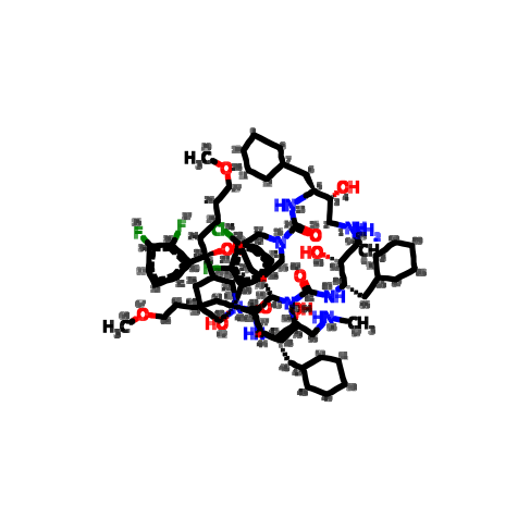 CNC[C@@H](O)[C@H](CC1CCCCC1)NC(=O)N1CC[C@@H](C2C([C@@](O)(CCCCOC)c3cccc(F)c3F)CCCN2C(=O)N[C@@H](CC2CCCCC2)[C@H](O)CNC)[C@@H](C2C([C@@](O)(CCCCOC)c3cccc(Cl)c3F)CCCN2C(=O)N[C@@H](CC2CCCCC2)[C@H](O)CN)C1